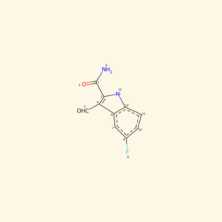 NC(=O)C1=C(C=O)c2cc(F)ccc2[N]1